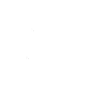 C=CCC1C2CCCN=C2CC2CNCC21